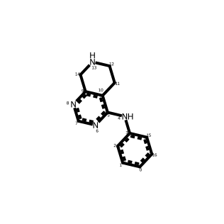 c1ccc(Nc2ncnc3c2CCNC3)cc1